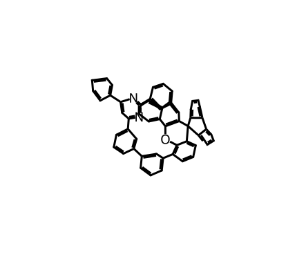 c1ccc(-c2cc(-c3cccc(-c4cccc(-c5cccc6c5Oc5c(ccc7ccccc57)C65c6ccccc6-c6ccccc65)c4)c3)nc(-c3ccccc3)n2)cc1